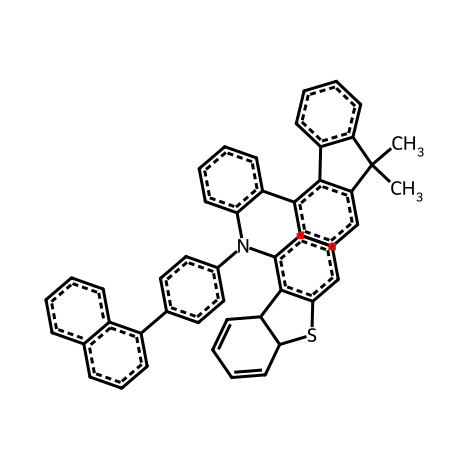 CC1(C)c2ccccc2-c2c(-c3ccccc3N(c3ccc(-c4cccc5ccccc45)cc3)c3cccc4c3C3C=CC=CC3S4)cccc21